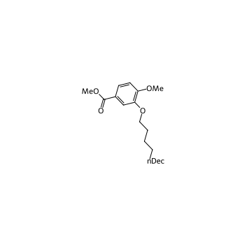 CCCCCCCCCCCCCCOc1cc(C(=O)OC)ccc1OC